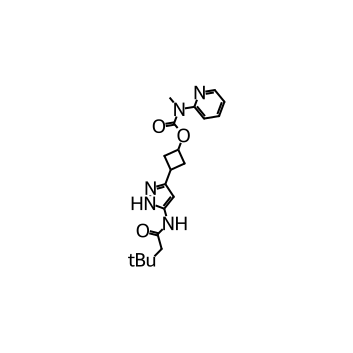 CN(C(=O)OC1CC(c2cc(NC(=O)CC(C)(C)C)[nH]n2)C1)c1ccccn1